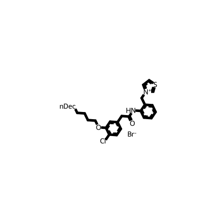 CCCCCCCCCCCCCCOc1cc(CC(=O)Nc2ccccc2C[n+]2ccsc2)ccc1Cl.[Br-]